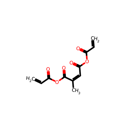 C=CC(=O)OC(=O)/C=C(/C)C(=O)OC(=O)C=C